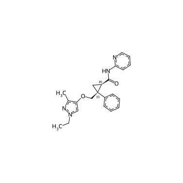 CCn1cc(OC[C@@]2(c3ccccc3)C[C@H]2C(=O)Nc2ccccn2)c(C)n1